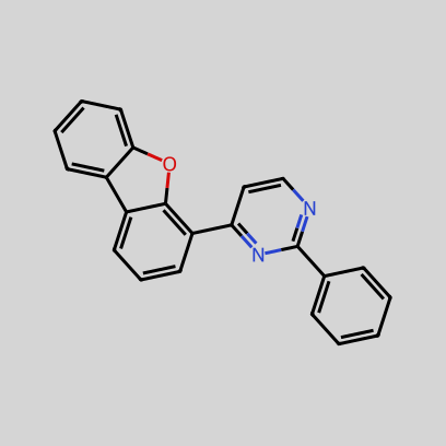 c1ccc(-c2nccc(-c3cccc4c3oc3ccccc34)n2)cc1